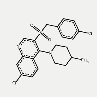 CC1CCN(c2c(S(=O)(=O)Cc3ccc(Cl)cc3)cnc3cc(Cl)ccc23)CC1